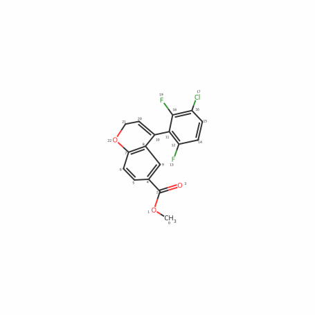 COC(=O)c1ccc2c(c1)C(c1c(F)ccc(Cl)c1F)=CCO2